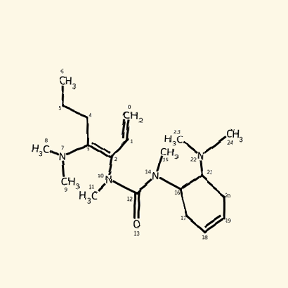 C=C/C(=C(\CCC)N(C)C)N(C)C(=O)N(C)C1CC=CCC1N(C)C